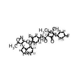 Cc1noc(C)c1-c1ccn2nccc(Oc3ccc(NC(=O)c4c(C)n(C)n(-c5ccc(F)cc5)c4=O)cc3F)c12